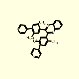 Cc1cc(-c2nc3ccccc3nc2-c2cc(C)c(-c3ccncc3)cc2C)c(C)cc1-c1ccncc1